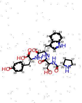 O=C(O)[C@H](Cc1ccc(O)cc1)NC(=O)[C@H](Cc1c[nH]c2ccccc12)NC(=O)[C@H](CO)NC(=O)[C@@H]1CCCN1